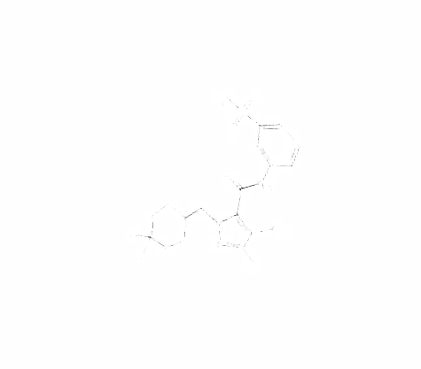 NS(=O)(=O)c1cccc(NC(=O)c2c(C(F)(F)F)c(Cl)nn2CC2CCC(F)(F)CC2)c1